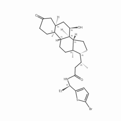 CC[C@@H](NC(=O)C[C@@H](C)[C@H]1CC[C@H]2[C@@H]3[C@H](O)C[C@@H]4CC(=O)CC[C@]4(C)[C@H]3CC[C@]12C)c1ccc(Br)s1